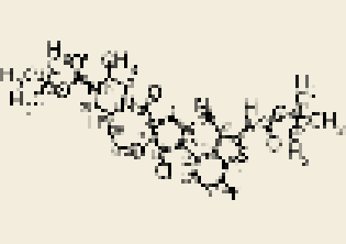 C[C@H]1CN2C(=O)c3cc(F)c(-c4ccc(F)c5sc(NC(=O)OC(C)(C)C)c(C#N)c45)c(Cl)c3OCC[C@H]2CN1C(=O)OC(C)(C)C